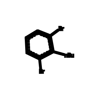 [CH2]CCCc1c(Br)cccc1Br